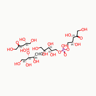 O=C(CO)[C@@H](O)[C@H](O)CO.O=C(CO)[C@@H](O)[C@H](O)COP(=O)(O)OC[C@H](O)[C@@H](O)[C@H](O)CO.O=C[C@H](O)[C@@H](O)[C@H](O)CO